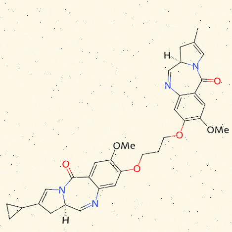 COc1cc2c(cc1OCCCOc1cc3c(cc1OC)C(=O)N1C=C(C4CC4)C[C@@H]1C=N3)N=C[C@H]1CC(C)=CN1C2=O